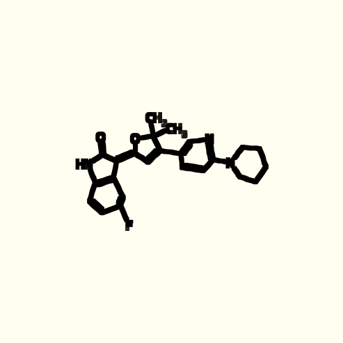 CC1(C)OC(=C2C(=O)Nc3ccc(F)cc32)C=C1c1ccc(N2CCCCC2)nc1